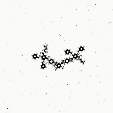 COc1cc(OC)c(C(=O)NC2CCC(NC(=O)c3cc(C(=O)NCCN(C)C)c(OCc4ccccc4)cc3OCc3ccccc3)CC2)cc1C(=O)NC1CCC(NC(=O)c2cc(C(=O)NCCN(C)C)c(OCc3ccccc3)cc2OCc2ccccc2)CC1